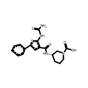 NC(=O)Nc1sc(-c2ccccc2)cc1C(=O)N[C@H]1CCCN(C(=O)O)C1